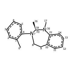 Cc1ccccc1N1CCc2ccccc2N(C)[C@@H]1C